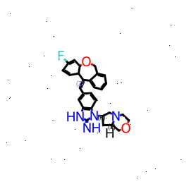 N=c1[nH]c2cc(/C=C3\c4ccccc4COC4C=C(F)C=CC34)ccc2n1[C@@H]1C[C@H]2COCCN2C1